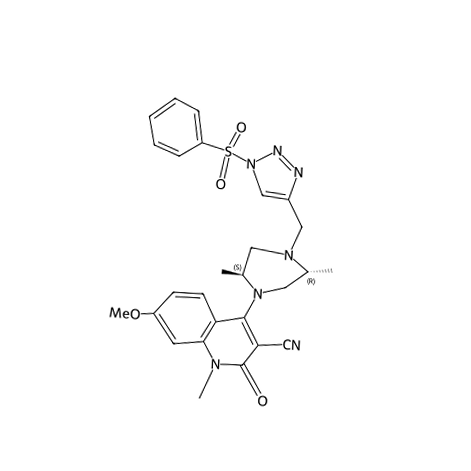 COc1ccc2c(N3C[C@@H](C)N(Cc4cn(S(=O)(=O)c5ccccc5)nn4)C[C@@H]3C)c(C#N)c(=O)n(C)c2c1